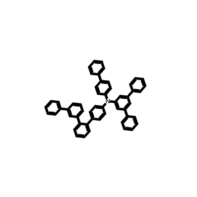 c1ccc(-c2ccc(N(c3ccc(-c4ccccc4-c4cccc(-c5ccccc5)c4)cc3)c3cc(-c4ccccc4)cc(-c4ccccc4)c3)cc2)cc1